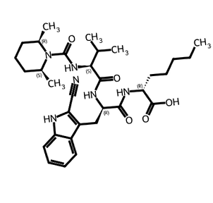 CCCCC[C@@H](NC(=O)[C@@H](Cc1c(C#N)[nH]c2ccccc12)NC(=O)[C@@H](NC(=O)N1[C@H](C)CCC[C@@H]1C)C(C)C)C(=O)O